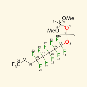 CO[Si](C)(OC)OC(C)(C)OC(F)(F)C(F)(F)C(F)(F)C(F)(F)C(F)(F)CCC(F)(F)F